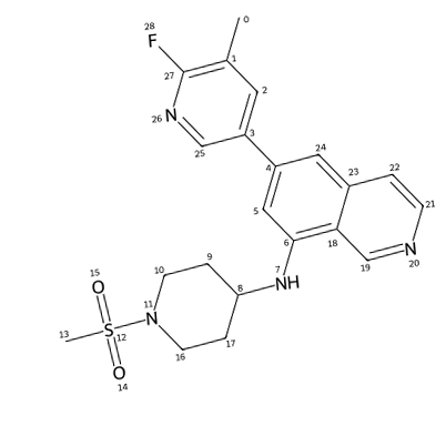 Cc1cc(-c2cc(NC3CCN(S(C)(=O)=O)CC3)c3cnccc3c2)cnc1F